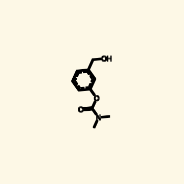 CN(C)C(=O)Oc1cccc(CO)c1